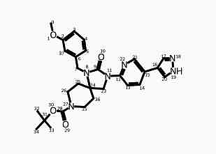 COc1cccc(CN2C(=O)N(c3ccc(-c4cn[nH]c4)cn3)CC23CCN(C(=O)OC(C)(C)C)CC3)c1